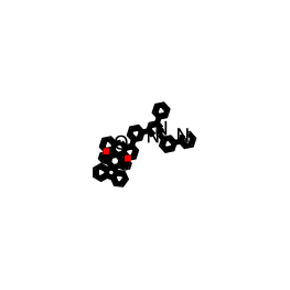 c1ccc(-c2cc(-c3cccc(-c4cccc5c4Oc4ccccc4C54c5ccccc5C5(c6ccccc6-c6ccccc65)c5ccccc54)c3)nc(-c3cccc(-c4ccccn4)c3)n2)cc1